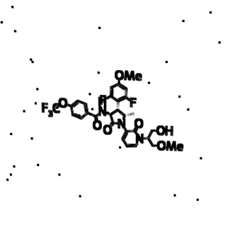 COCC(CO)n1cccc(N2C(=O)[C@@H](NC(=O)c3ccc(OC(F)(F)F)cc3)[C@H](c3c(F)cc(OC)cc3F)[C@@H]2C)c1=O